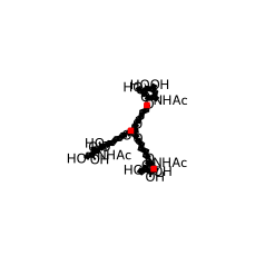 CC(=O)N/C(=C(/O)[C@@H](O)CCO)[C@@H](O)OCCCCCOCC(C)(COCCCCCO[C@@H]1OC(CO)[C@H](O)C(O)CC1NC(C)=O)COCCCCCO[C@@H]1OC(CO)[C@H](O)C(O)C1NC(C)=O